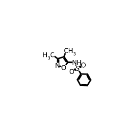 Cc1noc(NS(=O)(=O)c2ccccc2)c1C